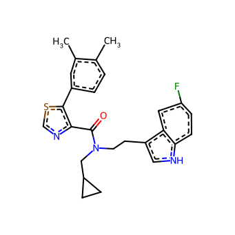 Cc1ccc(-c2scnc2C(=O)N(CCc2c[nH]c3ccc(F)cc23)CC2CC2)cc1C